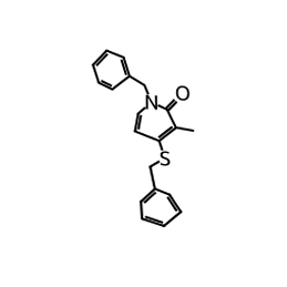 Cc1c(SCc2ccccc2)ccn(Cc2ccccc2)c1=O